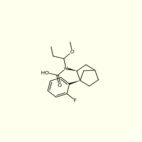 CCC(OC)N(C(=O)O)[C@H]1CC2CC[C@@]1(c1ccccc1F)C2